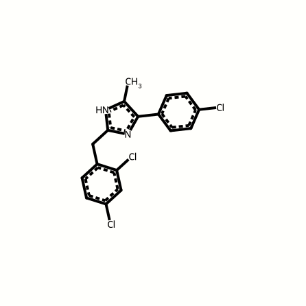 Cc1[nH]c(Cc2ccc(Cl)cc2Cl)nc1-c1ccc(Cl)cc1